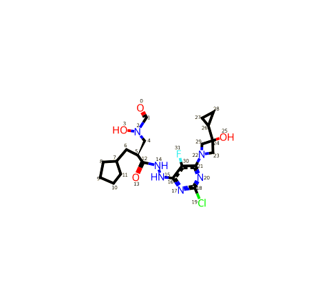 O=CN(O)C[C@H](CC1CCCC1)C(=O)NNc1nc(Cl)nc(N2CC(O)(C3CC3)C2)c1F